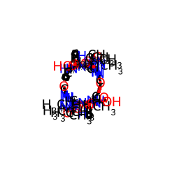 CN[C@@H](C)C(=O)N[C@H](C(=O)N1C[C@@H]2C[C@H]1C(=O)N[C@@H](Cc1ccc3ccccc3c1)C(=O)N[C@H](C(=O)O)Cc1ccc(cc1)OCc1cn(nn1)[C@H]1C[C@@H](C(=O)N[C@@H](Cc3ccc4ccccc4c3)C(=O)N[C@H](C(=O)N(C)CCC(=O)O)Cc3ccc(cc3)OCc3cn2nn3)N(C(=O)[C@@H](NC(=O)[C@H](C)NC)C(C)(C)C)C1)C(C)(C)C